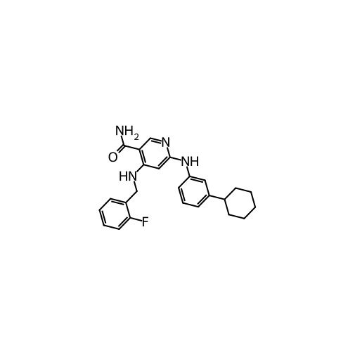 NC(=O)c1cnc(Nc2cccc(C3CCCCC3)c2)cc1NCc1ccccc1F